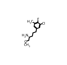 COC[C@H](N)CCCc1cc(C)c(F)c(Cl)c1